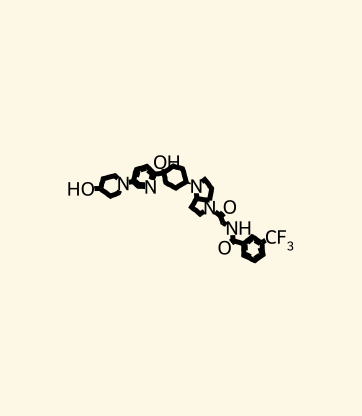 O=C(NCC(=O)N1CCC2C1CCN2[C@H]1CC[C@@](O)(c2ccc(N3CCC(O)CC3)cn2)CC1)c1cccc(C(F)(F)F)c1